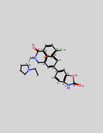 CCN1CCC[C@@H]1CN(Cc1cc(-c2ccc3[nH]c(=O)oc3c2)ccc1F)C(=O)c1ccc(F)cc1